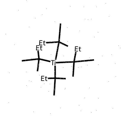 CC[C](C)(C)[Ti]([C](C)(C)CC)([C](C)(C)CC)[C](C)(C)CC